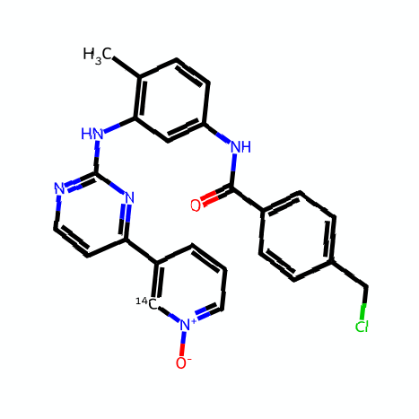 Cc1ccc(NC(=O)c2ccc(CCl)cc2)cc1Nc1nccc(-c2ccc[n+]([O-])[14cH]2)n1